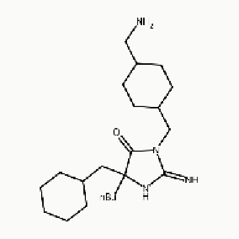 CCCCC1(CC2CCCCC2)NC(=N)N(CC2CCC(CN)CC2)C1=O